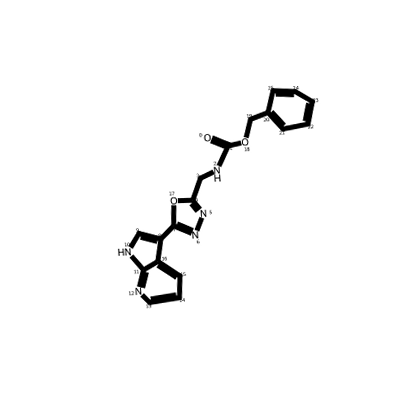 O=C(NCc1nnc(-c2c[nH]c3ncccc23)o1)OCc1ccccc1